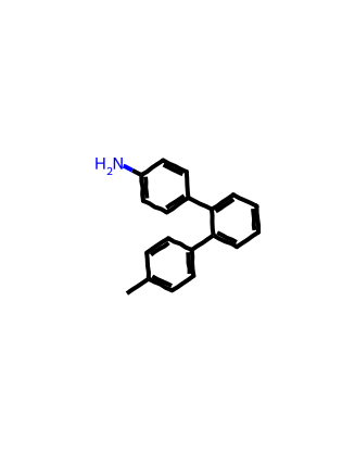 Cc1ccc(-c2ccccc2-c2ccc(N)cc2)cc1